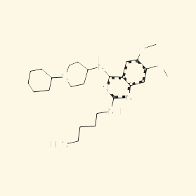 COc1cc2nc(NCCCCN)nc(NC3CCN(C4CCCCC4)CC3)c2cc1OC